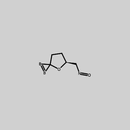 O=NC[C@@H]1CCC2(B=B2)O1